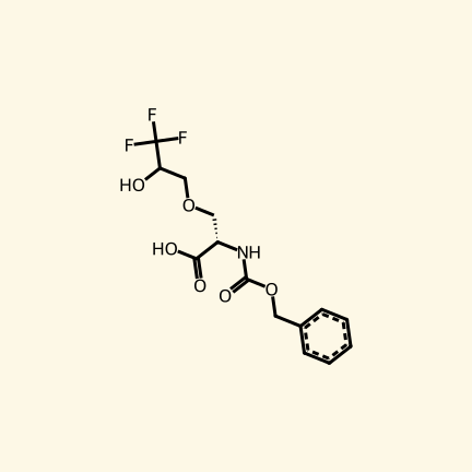 O=C(N[C@@H](COCC(O)C(F)(F)F)C(=O)O)OCc1ccccc1